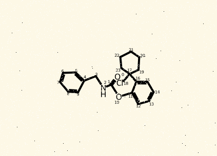 O=C(NCc1ccccc1)Oc1ccccc1C1(Cl)CCCCC1